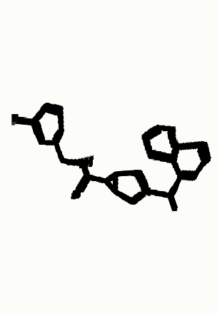 CC(c1cccc2ccccc12)N1CC2C(C1)C2C(=O)NCc1cccc(F)c1